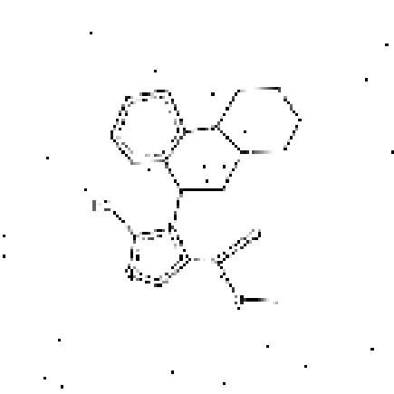 COC(=O)c1cnc(S)n1C1CC2CCCCC2c2ccccc21